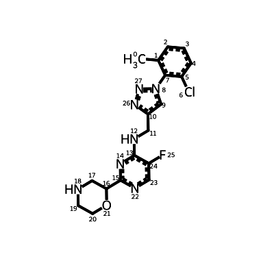 Cc1cccc(Cl)c1-n1cc(CNc2nc(C3CNCCO3)ncc2F)nn1